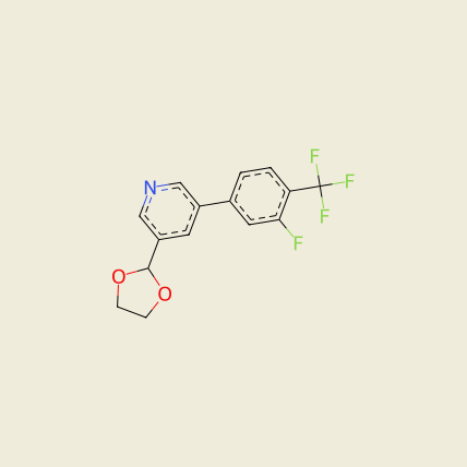 Fc1cc(-c2cncc(C3OCCO3)c2)ccc1C(F)(F)F